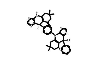 CC[C@@]1(c2ccccc2)C2=C(CC(C)(C)CC2=O)N(c2ccc([C@]3(C)C4=C(CC(C)(C)CC4=O)Nc4ncsc43)cc2)c2ncsc21